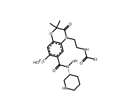 CCCN(C(=O)c1cc2c(cc1C(F)(F)F)OC(C)(C)C(=O)N2CCNC(=O)CC)[C@@H]1CCCNC1.Cl